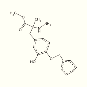 COC(=O)C(C)(Cc1ccc(OCc2ccccc2)c(O)c1)NN